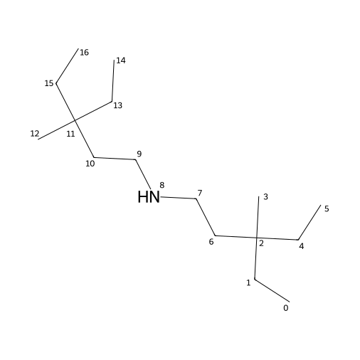 CCC(C)(CC)CCNCCC(C)(CC)CC